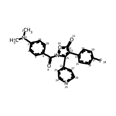 CN(C)c1ccc(C(=O)n2oc(=O)c(-c3ccc(F)cc3)c2-c2ccncc2)cc1